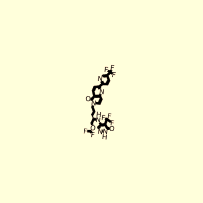 O=c1[nH]ncc(N[C@H](CCCn2ccc3nc(-c4ccc(C(F)(F)F)cn4)ccc3c2=O)COC(F)F)c1C(F)(F)F